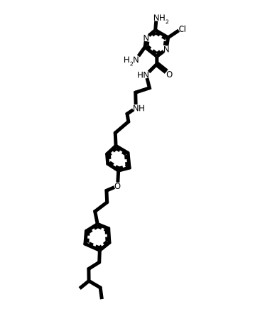 CCC(C)CCc1ccc(CCCOc2ccc(CCCNCCNC(=O)c3nc(Cl)c(N)nc3N)cc2)cc1